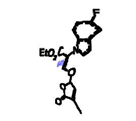 CCOC(=O)/C(=C/OC1C=C(C)C(=O)O1)n1ccc2cc(F)ccc21